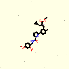 CCOC(=O)/C(=C/c1cc(-c2cccc(C(=O)NCc3ccc(OC)cc3OC)n2)ccc1C)CC1CC1